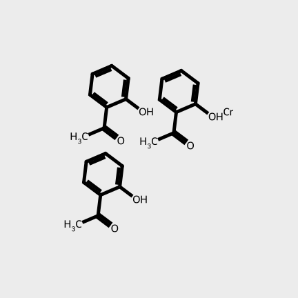 CC(=O)c1ccccc1O.CC(=O)c1ccccc1O.CC(=O)c1ccccc1O.[Cr]